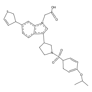 CC(C)OC1=CCC(S(=O)(=O)N2CCC(c3cn(CC(=O)O)c4cc(C5C=CSC5)ccc34)C2)C=C1